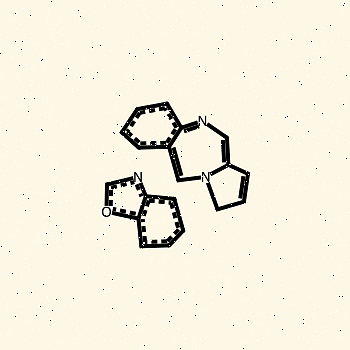 C1=CC2=CN=c3ccccc3=CN2C1.c1ccc2ocnc2c1